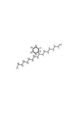 CCCCCCCCCCCCCCCCCC.c1ccccc1